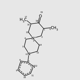 CC1C[N+]2(CCN(c3ccccn3)CC2)CC(C)C1=O